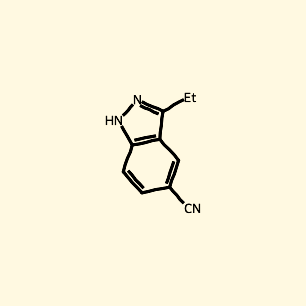 CCc1n[nH]c2ccc(C#N)cc12